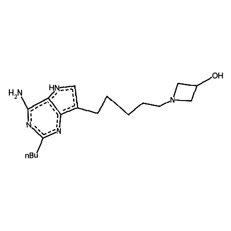 CCCCc1nc(N)c2[nH]cc(CCCCCN3CC(O)C3)c2n1